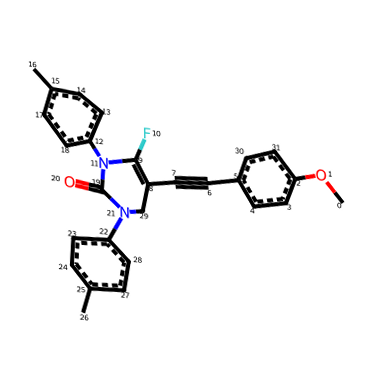 COc1ccc(C#CC2=C(F)N(c3ccc(C)cc3)C(=O)N(c3ccc(C)cc3)C2)cc1